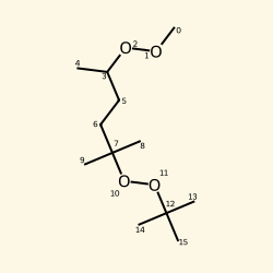 COOC(C)CCC(C)(C)OOC(C)(C)C